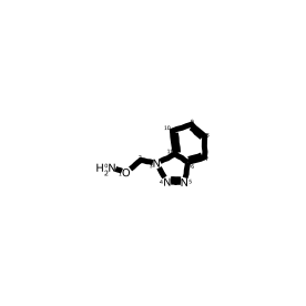 NOCn1nnc2ccccc21